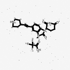 Cn1c(=O)n(C2CCC(=O)NC2=O)c2ccc(C#CC3CCNCC3)cc21.O=C(O)C(F)(F)F